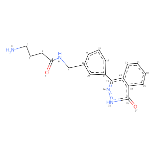 NCCCC(=O)NCc1cccc(-c2n[nH]c(=O)c3ccccc23)c1